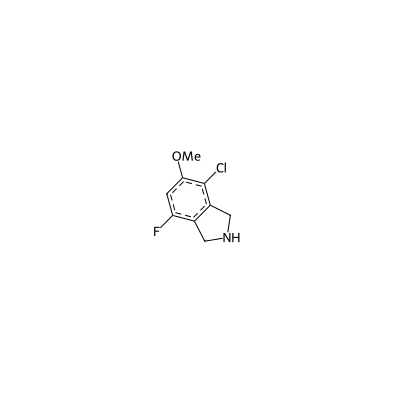 COc1cc(F)c2c(c1Cl)CNC2